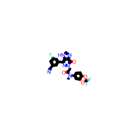 CN(C(=O)Cn1nc(-c2cc(F)cc(C#N)c2)c2[nH]cnc2c1=O)c1ccc2c(c1)OC(F)(F)O2